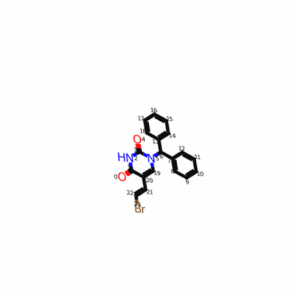 O=c1[nH]c(=O)n(C(c2ccccc2)c2ccccc2)cc1/C=C/Br